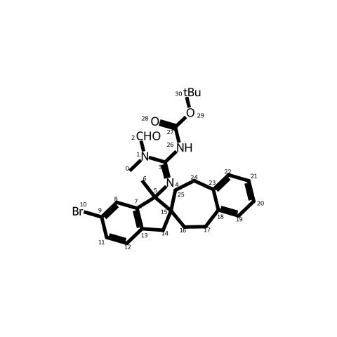 CN(C=O)/C(=N\C1(C)c2cc(Br)ccc2CC12CCc1ccccc1CC2)NC(=O)OC(C)(C)C